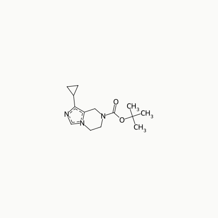 CC(C)(C)OC(=O)N1CCn2cnc(C3CC3)c2C1